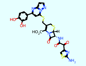 Nc1nc(C(=O)C(=O)N[C@@H]2C(=O)N3C(C(=O)O)=C(CSc4cc(-c5ccc(O)c(O)c5)nc5ccnn45)CS[C@H]23)cs1